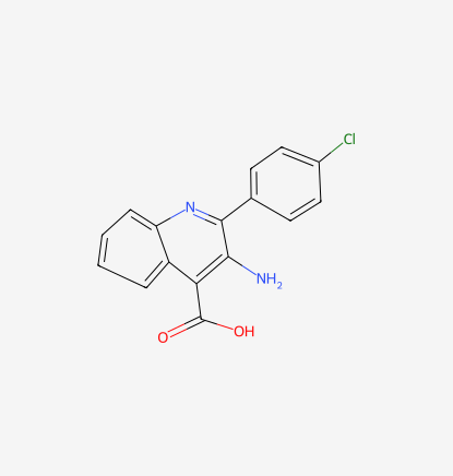 Nc1c(-c2ccc(Cl)cc2)nc2ccccc2c1C(=O)O